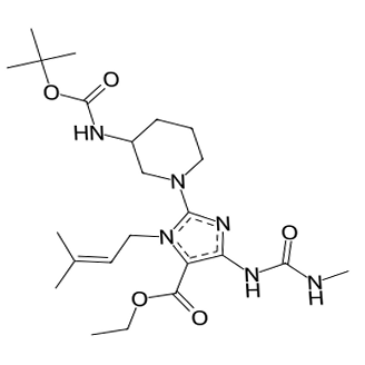 CCOC(=O)c1c(NC(=O)NC)nc(N2CCCC(NC(=O)OC(C)(C)C)C2)n1CC=C(C)C